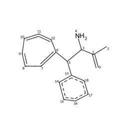 C=C(C)C(N)C(C1=CC=CC=C=C1)c1ccccc1